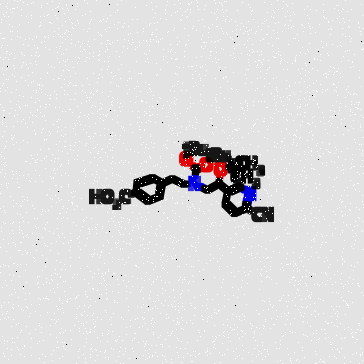 CC(C)(C)OC(=O)N(CCc1ccc(C(=O)O)cc1)CC(O[Si](C)(C)C(C)(C)C)c1ccc(C#N)nc1